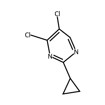 Clc1cnc(C2CC2)nc1Cl